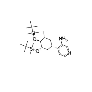 C[C@@H]1C[C@H](c2ccncc2N)C[C@H](O[Si](C)(C)C(C)(C)C)[C@H]1O[Si](C)(C)C(C)(C)C